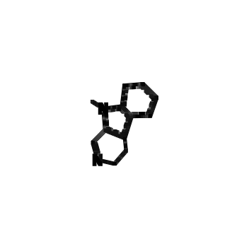 Cn1c2c(c3ccccc31)CCN=C2